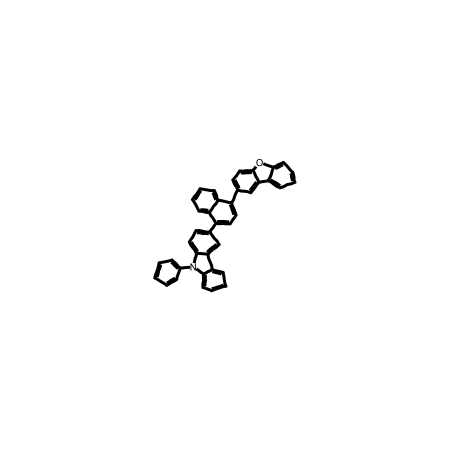 c1ccc(-n2c3ccccc3c3cc(-c4ccc(-c5ccc6oc7ccccc7c6c5)c5ccccc45)ccc32)cc1